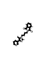 Cc1c(-c2cccnc2)ncn1CCCCN1C(=O)c2ccccc2C1=O